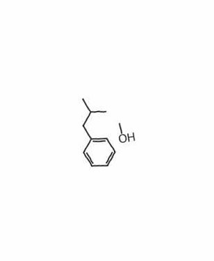 CC(C)Cc1ccccc1.CO